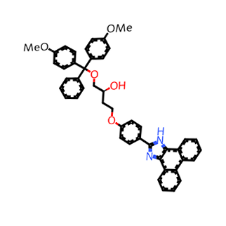 COc1ccc(C(OC[C@@H](O)CCOc2ccc(-c3nc4c5ccccc5c5ccccc5c4[nH]3)cc2)(c2ccccc2)c2ccc(OC)cc2)cc1